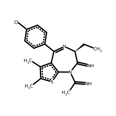 CC[C@@H]1N=C(c2ccc(Cl)cc2)c2c(sc(C)c2C)N(C(C)=N)C1=N